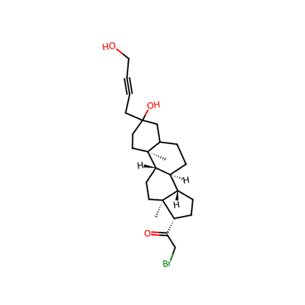 C[C@]12CC[C@H]3[C@@H](CCC4CC(O)(CC#CCO)CC[C@@]43C)[C@@H]1CC[C@@H]2C(=O)CBr